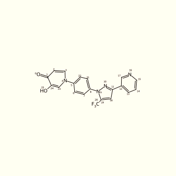 O=c1ccn(-c2ccc(-n3nc(-c4cccnc4)cc3C(F)(F)F)cc2)cc1O